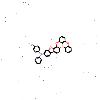 Cc1ccc(N(c2ccccc2)c2ccc3c(c2)oc2c4c(ccc23)B2c3ccccc3Oc3cccc(c32)O4)cc1